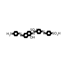 Nc1ccc(N=Nc2ccc3c(O)c(N=Nc4ccc(N=Nc5ccc(S(=O)(=O)O)cc5)cc4)c(S(=O)(=O)O)cc3c2)cc1